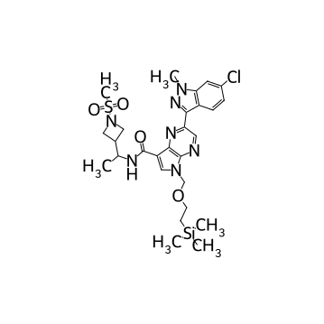 CC(NC(=O)c1cn(COCC[Si](C)(C)C)c2ncc(-c3nn(C)c4cc(Cl)ccc34)nc12)C1CN(S(C)(=O)=O)C1